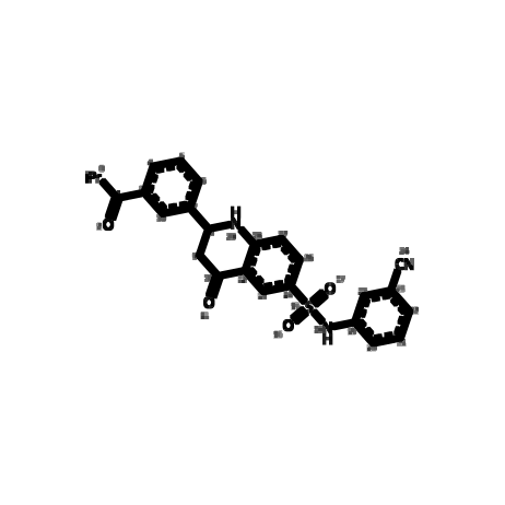 CC(C)C(=O)c1cccc(C2CC(=O)c3cc(S(=O)(=O)Nc4cccc(C#N)c4)ccc3N2)c1